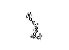 Cn1cnc(-c2ccc(C3=CCN(C(=O)CN4CC[C@]5(CCN(c6ccc7[nH]nc(-c8ccnc(C(F)F)c8)c7c6)C5=O)C4)CC3)cc2)n1